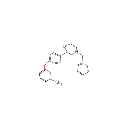 FC(F)(F)c1cccc(Oc2ccc(C3CN(Cc4ccccc4)CCO3)cc2)c1